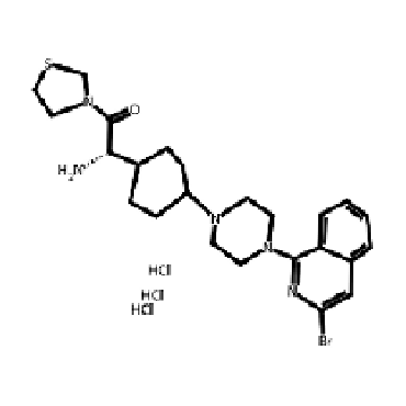 Cl.Cl.Cl.N[C@H](C(=O)N1CCSC1)C1CCC(N2CCN(c3nc(Br)cc4ccccc34)CC2)CC1